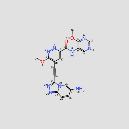 COc1nnc(C(=O)Nc2cncnc2OC)cc1C#Cc1nnc2ccc(N)cn12